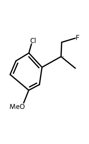 COc1ccc(Cl)c([C](C)CF)c1